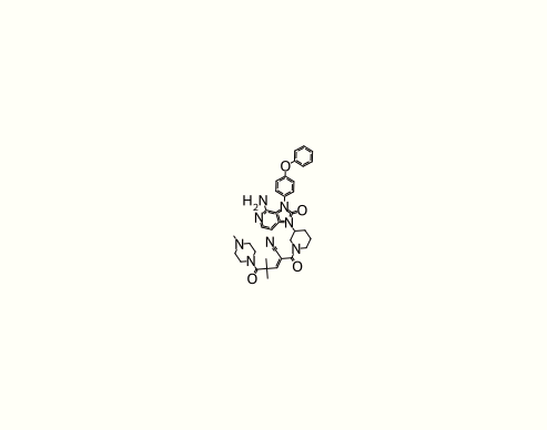 CN1CCN(C(=O)C(C)(C)C=C(C#N)C(=O)N2CCCC(n3c(=O)n(-c4ccc(Oc5ccccc5)cc4)c4c(N)nccc43)C2)CC1